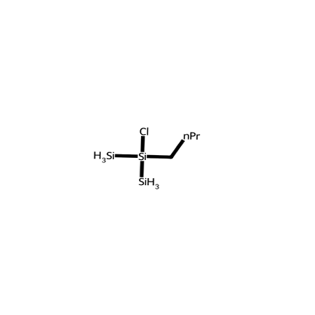 CCCC[Si]([SiH3])([SiH3])Cl